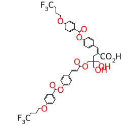 O=C(/C=C/c1ccc(OC(=O)c2ccc(OCCCC(F)(F)F)cc2)cc1)OCC(CO)(CO)C/C(=C\c1ccc(OC(=O)c2ccc(OCCCC(F)(F)F)cc2)cc1)C(=O)O